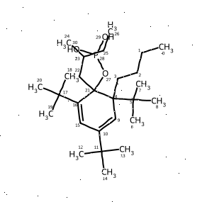 CCCCC1(C(C)(C)C)C=C(C(C)(C)C)C=C(C(C)(C)C)C1(CC(C)CC)OP(O)O